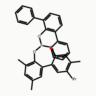 Cc1cc(C)c2op(Oc3c(-c4ccccc4)cccc3-c3ccccc3)oc3cc(C)c(C(C)C)cc3c2c1